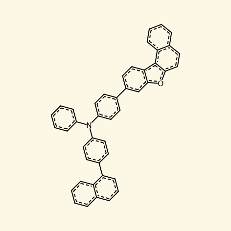 c1ccc(N(c2ccc(-c3ccc4c(c3)oc3ccc5ccccc5c34)cc2)c2ccc(-c3cccc4ccccc34)cc2)cc1